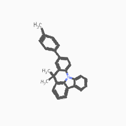 Cc1ccc(-c2ccc3c(c2)C(C)(C)c2cccc4c5ccccc5n-3c24)cc1